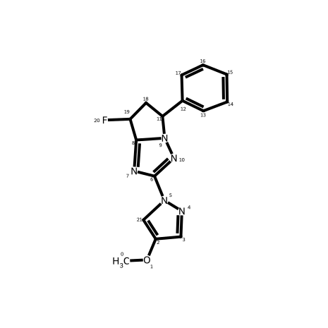 COc1cnn(-c2nc3n(n2)C(c2ccccc2)CC3F)c1